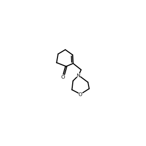 O=C1CCCC=C1CN1CCOCC1